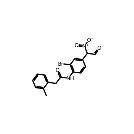 Cc1ccccc1CC(=O)Nc1ccc(C(C=O)[N+](=O)[O-])cc1Br